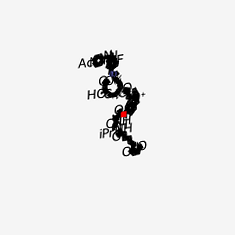 CC(=O)N1CCC(n2nnc3c(F)cc(/C=C(\C)[C@@H]4OC(=O)C[C@H](O)CC[C@@H](C)[C@@H](OC(=O)N5CC[N+](C)(Cc6ccc(NC(=O)[C@H](C)NC(=O)[C@@H](NC(=O)CCCCCN7C(=O)C=CC7=O)C(C)C)cc6)CC5)C=C[C@H]4C)cc32)CC1